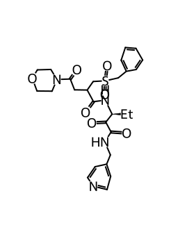 CC[C@H](NC(=O)C(CC(=O)N1CCOCC1)CS(=O)(=O)Cc1ccccc1)C(=O)C(=O)NCc1ccncc1